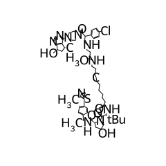 Cc1ncsc1-c1ccc([C@H](C)NC(=O)[C@@H]2C[C@@H](O)CN2C(=O)C(NC(=O)CCCCCCCCCCNC(=O)CCNCC(C(=O)N2CCN(c3ncnc4c3[C@H](C)C[C@H]4O)CC2)c2ccc(Cl)cc2)C(C)(C)C)cc1